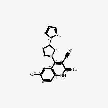 N#Cc1c(N2CC[C@@H](n3cccn3)C2)c2cc(Cl)ccc2[nH]c1=O